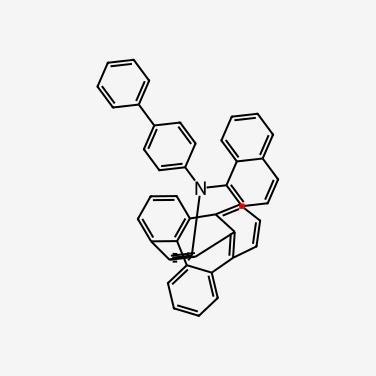 c1c(N(c2ccc(-c3ccccc3)cc2)c2cccc3ccccc23)cc2c(c#1)-c1cccc3c1-c1ccccc1-c1cccc-3c1-2